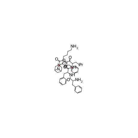 CC(C)CC(NC(=O)C(Cc1ccccc1)NC(=O)C(N)Cc1ccccc1)C(=O)NC(CCCCN)C(=O)N1CC2CC(C1)N2CC(=O)OCc1ccccc1